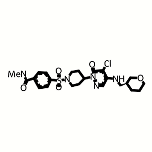 CNC(=O)c1ccc(S(=O)(=O)N2CCC(n3ncc(NC[C@@H]4CCCOC4)c(Cl)c3=O)CC2)cc1